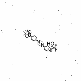 CC1(C)OB(c2ccc(N3CCN(c4ccnc(C(O)C(F)(F)F)c4)CC3)cc2)OC1(C)C